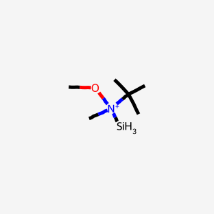 CO[N+](C)([SiH3])C(C)(C)C